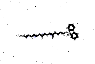 CCCCC/C=C/C/C=C/C/C(F)=C/C/C=C(\F)CCCCO[Si](c1ccccc1)(c1ccccc1)C(C)(C)C